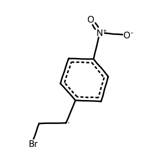 O=[N+]([O-])c1ccc([CH]CBr)cc1